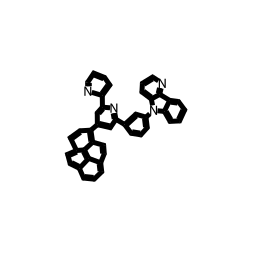 c1ccc(-c2cc(-c3ccc4ccc5cccc6ccc3c4c56)cc(-c3cccc(-n4c5ccccc5c5ncccc54)c3)n2)nc1